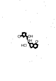 COc1cccc2c1CC(CNCC(O)c1cccc(Cl)c1)CC2.Cl